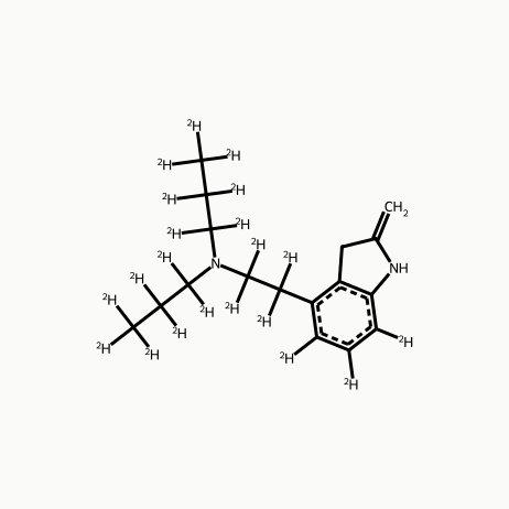 [2H]c1c([2H])c2c(c(C([2H])([2H])C([2H])([2H])N(C([2H])([2H])C([2H])([2H])C([2H])([2H])[2H])C([2H])([2H])C([2H])([2H])C([2H])([2H])[2H])c1[2H])CC(=C)N2